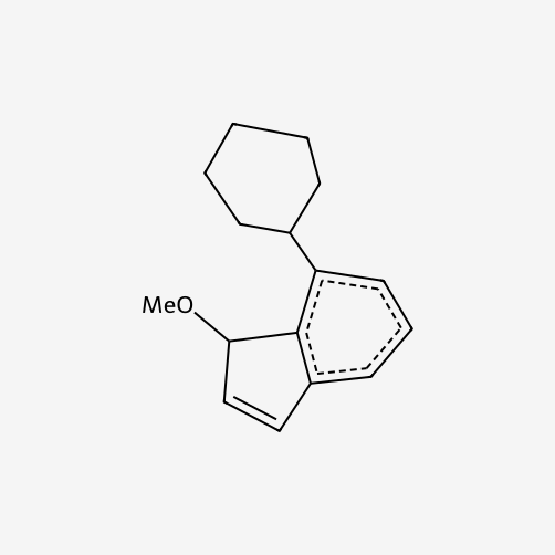 COC1C=Cc2cccc(C3CCCCC3)c21